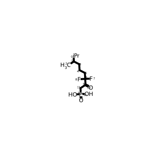 CC(C)C(C)CCCC(F)(F)C(=O)CP(=O)(O)O